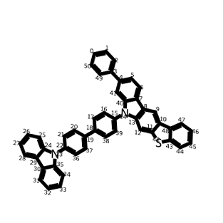 c1ccc(-c2ccc3c4cc5c(cc4n(-c4ccc(-c6ccc(-n7c8ccccc8c8ccccc87)cc6)cc4)c3c2)sc2ccccc25)cc1